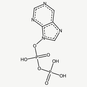 O=P(O)(O)OP(=O)(O)On1cnc2cncnc21